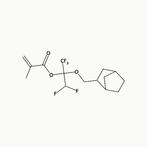 C=C(C)C(=O)OC(OCC1CC2CCC1C2)(C(F)F)C(F)(F)F